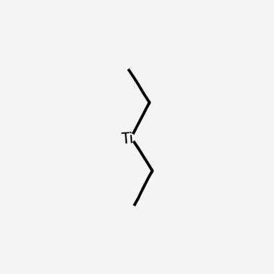 C[CH2][Ti][CH2]C